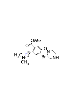 COC(=O)c1cc(ON2CCNCC2)c(Br)cc1/N=C/N(C)C